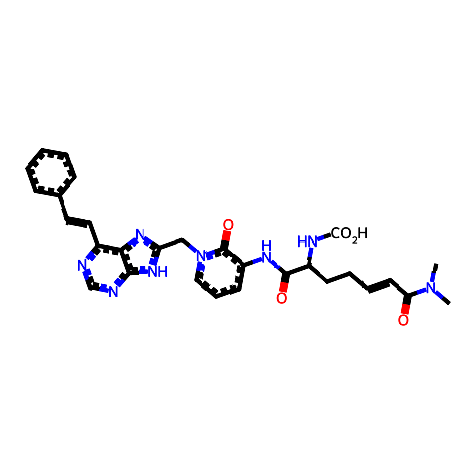 CN(C)C(=O)/C=C/CCC(NC(=O)O)C(=O)Nc1cccn(Cc2nc3c(/C=C/c4ccccc4)ncnc3[nH]2)c1=O